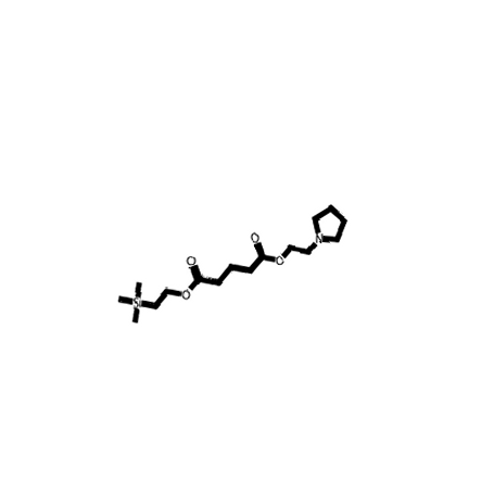 C[Si](C)(C)CCOC(=O)CCCC(=O)OCCN1CCCC1